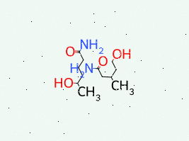 CC(CCO)CC(N)=O.CC(O)CCCC(N)=O